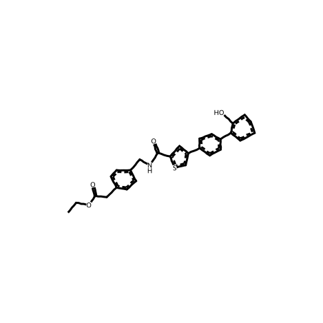 CCOC(=O)Cc1ccc(CNC(=O)c2cc(-c3ccc(-c4ccccc4O)cc3)cs2)cc1